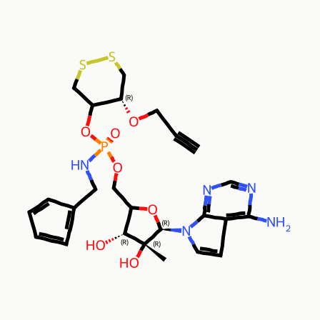 C#CCO[C@H]1CSSCC1OP(=O)(NCc1ccccc1)OCC1O[C@@H](n2ccc3c(N)ncnc32)[C@](C)(O)[C@@H]1O